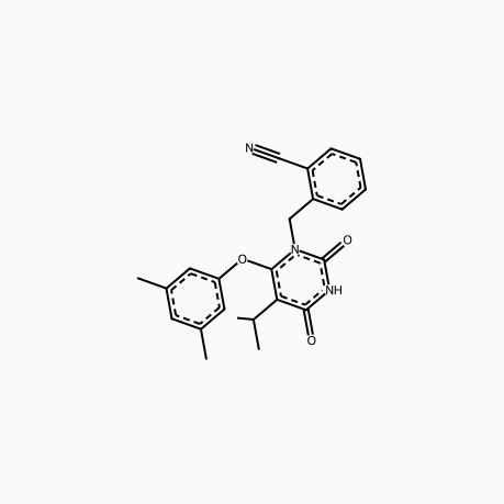 Cc1cc(C)cc(Oc2c(C(C)C)c(=O)[nH]c(=O)n2Cc2ccccc2C#N)c1